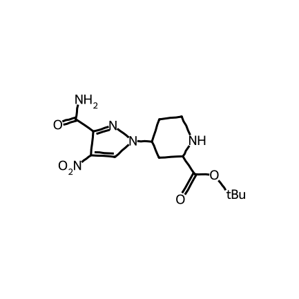 CC(C)(C)OC(=O)C1CC(n2cc([N+](=O)[O-])c(C(N)=O)n2)CCN1